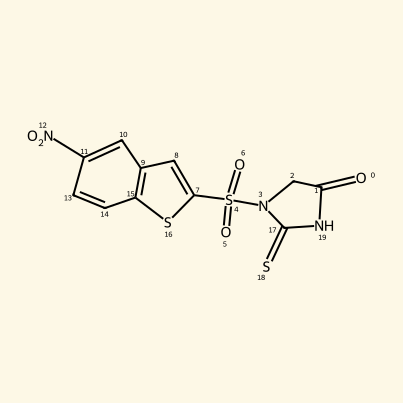 O=C1CN(S(=O)(=O)c2cc3cc([N+](=O)[O-])ccc3s2)C(=S)N1